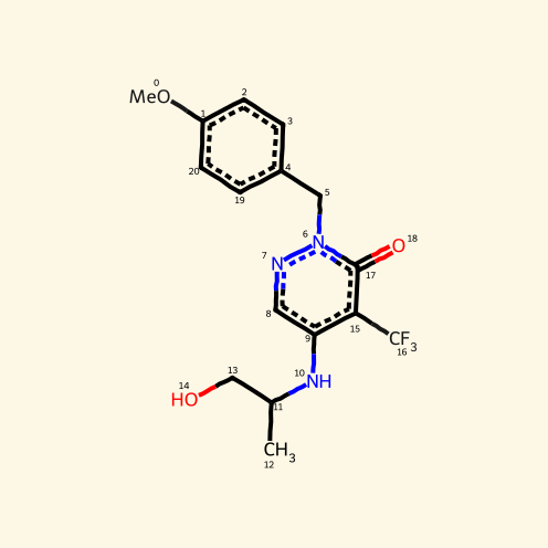 COc1ccc(Cn2ncc(NC(C)CO)c(C(F)(F)F)c2=O)cc1